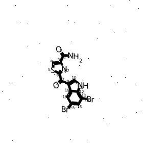 NC(=O)c1csc(C(=O)c2c[nH]c3c(Br)cc(Br)cc23)n1